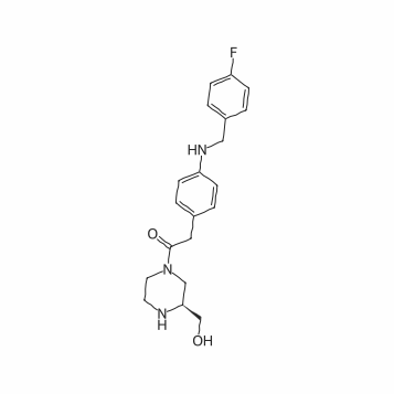 O=C(Cc1ccc(NCc2ccc(F)cc2)cc1)N1CCN[C@H](CO)C1